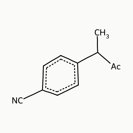 CC(=O)C(C)c1ccc(C#N)cc1